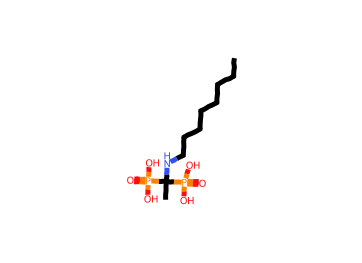 CCCCCCCCNC(C)(P(=O)(O)O)P(=O)(O)O